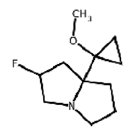 COC1(C23CCCN2CC(F)C3)CC1